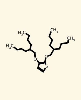 CCCCC(CCCC)COc1ccsc1OCC(CCCC)CCCC